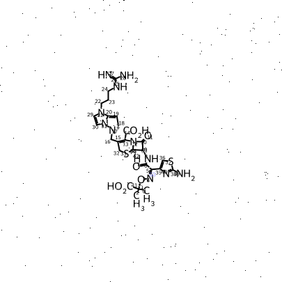 CC(C)(O/N=C(\C(=O)N[C@@H]1C(=O)N2C(C(=O)O)=C(C[n+]3ccc4n(CCCNC(=N)N)ccn43)CS[C@H]12)c1csc(N)n1)C(=O)O